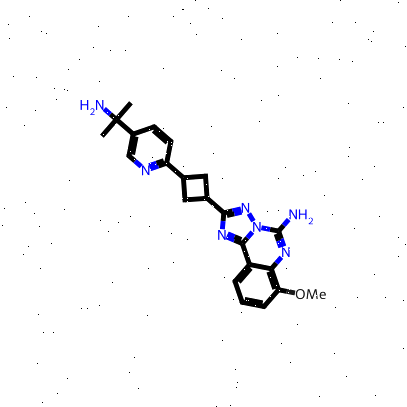 COc1cccc2c1nc(N)n1nc(C3CC(c4ccc(C(C)(C)N)cn4)C3)nc21